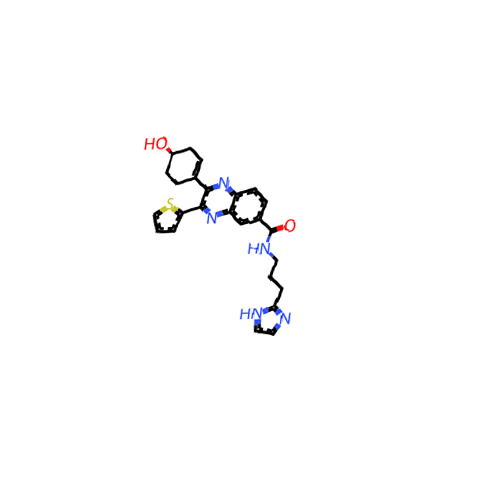 O=C(NCCCc1ncc[nH]1)c1ccc2nc(C3=CCC(O)CC3)c(-c3cccs3)nc2c1